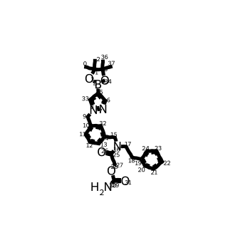 CC1(C)OB(c2cnn(Cc3cccc(CN(CCc4ccccc4)C(=O)COC(N)=O)c3)c2)OC1(C)C